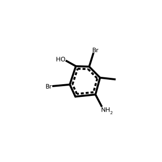 Cc1c(N)cc(Br)c(O)c1Br